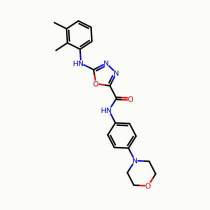 Cc1cccc(Nc2nnc(C(=O)Nc3ccc(N4CCOCC4)cc3)o2)c1C